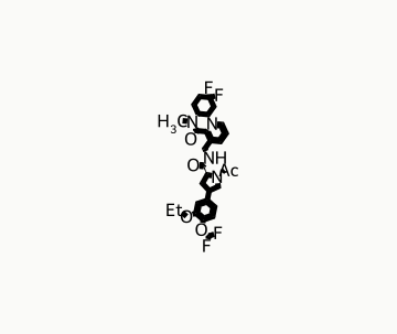 CCOc1cc(C2C[C@H](C(=O)NCc3cccnc3C(=O)N(C)C3CCC(F)(F)CC3)N(C(C)=O)C2)ccc1OC(F)F